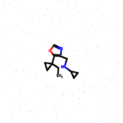 CCC1(c2ocnc2CNC2CC2)CC1